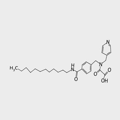 CCCCCCCCCCCCNC(=O)c1ccc(CN(Cc2ccncc2)C(=O)C(=O)O)cc1